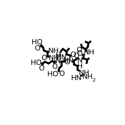 CCC(C)C(NC(=O)C(CCC(=O)O)NC(=O)C(CCC(=O)O)NC(=O)C(N)CCC(=O)O)C(=O)NC(CCCNC(=N)N)C(=O)NC(C(=O)NC(CC(C)C)C(C)=O)C(C)C